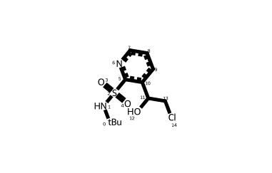 CC(C)(C)NS(=O)(=O)c1ncccc1C(O)CCl